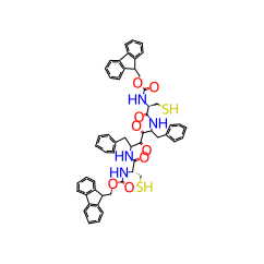 O=C(N[C@@H](CS)C(=O)NC(Cc1ccccc1)C(=O)C(=O)C(Cc1ccccc1)NC(=O)[C@H](CS)NC(=O)OCC1c2ccccc2-c2ccccc21)OCC1c2ccccc2-c2ccccc21